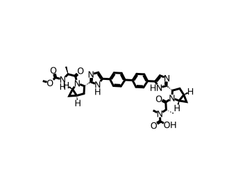 COC(=O)N[C@@H](C)C(=O)N1[C@H](c2ncc(-c3ccc(-c4ccc(-c5cnc([C@@H]6C[C@@H]7C[C@@H]7N6C(=O)[C@H](C)N(C)C(=O)O)[nH]5)cc4)cc3)[nH]2)C[C@H]2C[C@@H]21